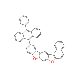 c1ccc(-c2c3ccccc3c(-c3ccc4oc5cc6oc7ccc8ccccc8c7c6cc5c4c3)c3ccccc23)cc1